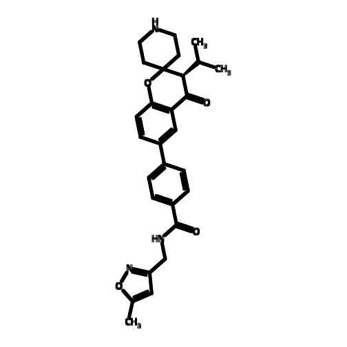 Cc1cc(CNC(=O)c2ccc(-c3ccc4c(c3)C(=O)[C@H](C(C)C)C3(CCNCC3)O4)cc2)no1